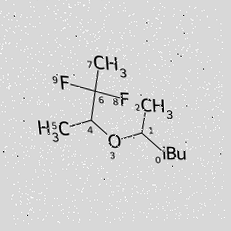 CCC(C)C(C)OC(C)C(C)(F)F